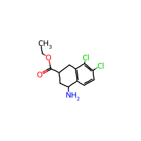 CCOC(=O)C1Cc2c(ccc(Cl)c2Cl)C(N)C1